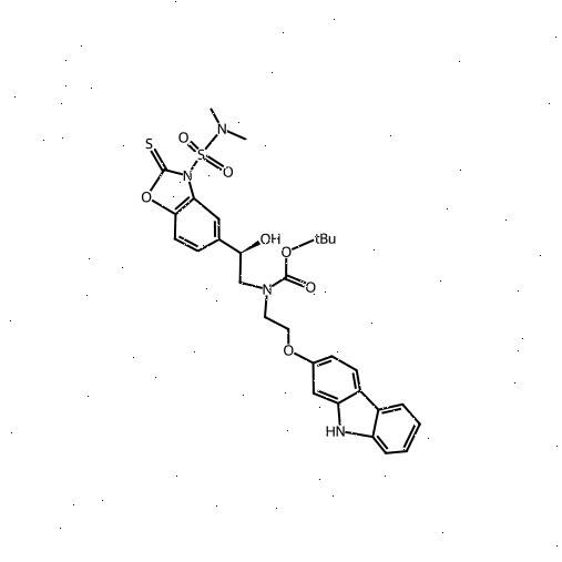 CN(C)S(=O)(=O)n1c(=S)oc2ccc([C@@H](O)CN(CCOc3ccc4c(c3)[nH]c3ccccc34)C(=O)OC(C)(C)C)cc21